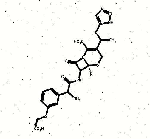 CC(Sc1nnn[nH]1)C1=C(C(=O)O)N2C(=O)C(NC(=O)C(N)c3cccc(SCC(=O)O)c3)[C@@H]2SC1